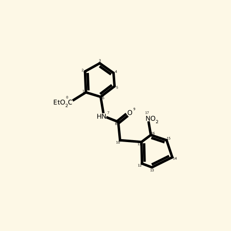 CCOC(=O)c1ccccc1NC(=O)Cc1ccccc1[N+](=O)[O-]